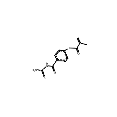 C=C(C)C(=O)Oc1ccc(C(=O)NC(N)=S)cc1